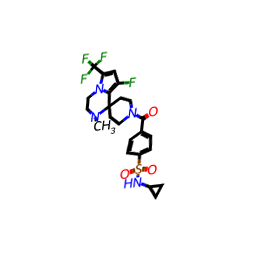 CN1CCn2c(C(F)(F)F)cc(F)c2C12CCN(C(=O)c1ccc(S(=O)(=O)NC3CC3)cc1)CC2